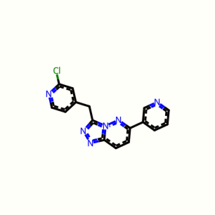 Clc1cc(Cc2nnc3ccc(-c4cccnc4)nn23)ccn1